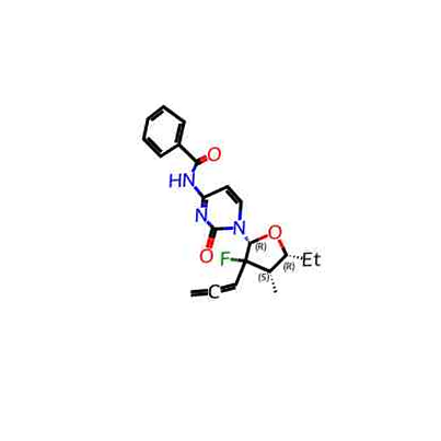 C=C=CC1(F)[C@@H](C)[C@@H](CC)O[C@H]1n1ccc(NC(=O)c2ccccc2)nc1=O